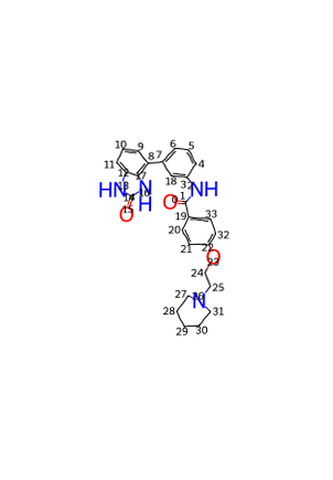 O=C(Nc1cccc(-c2cccc3[nH]c(=O)[nH]c23)c1)c1ccc(OCCN2CCCCC2)cc1